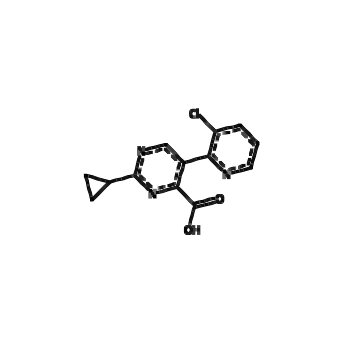 O=C(O)c1nc(C2CC2)ncc1-c1ncccc1Cl